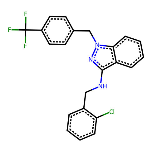 FC(F)(F)c1ccc(Cn2nc(NCc3ccccc3Cl)c3ccccc32)cc1